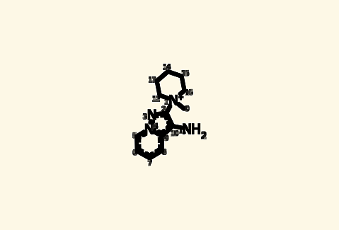 C[N+]1(c2nn3ccccc3c2N)CCCCC1